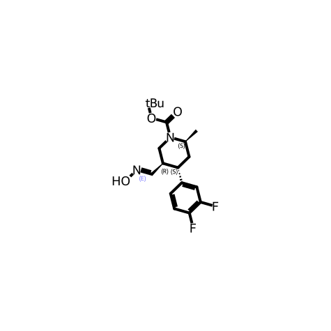 C[C@H]1C[C@H](c2ccc(F)c(F)c2)[C@@H](/C=N/O)CN1C(=O)OC(C)(C)C